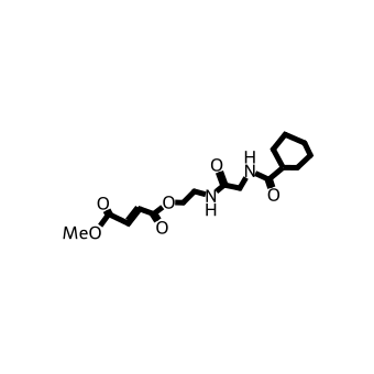 COC(=O)/C=C/C(=O)OCCNC(=O)CNC(=O)C1CCCCC1